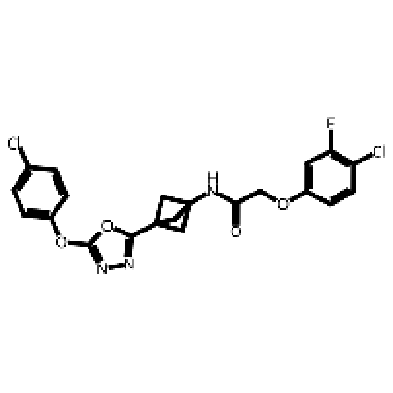 O=C(COc1ccc(Cl)c(F)c1)NC12CC(c3nnc(Oc4ccc(Cl)cc4)o3)(C1)C2